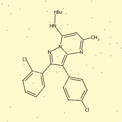 CCCCNc1cc(C)nc2c(-c3ccc(Cl)cc3)c(-c3ccccc3Cl)nn12